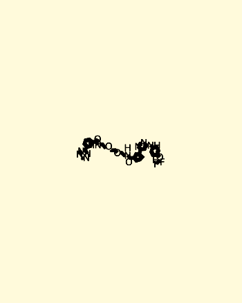 O=C(NCCOCCOCCNC(=O)c1cccc(-c2nncnn2)c1)c1cccc(-c2cc(Nc3ccc(OC(F)(F)F)cc3)ncn2)c1